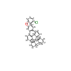 Clc1cccc2oc3ccc(-c4cccc5c4-c4ccccc4C54c5ccccc5-c5ccccc54)cc3c12